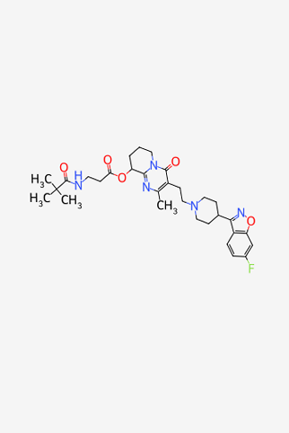 Cc1nc2n(c(=O)c1CCN1CCC(c3noc4cc(F)ccc34)CC1)CCCC2OC(=O)CCNC(=O)C(C)(C)C